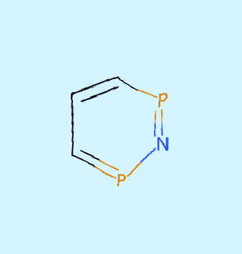 c1cpnpc1